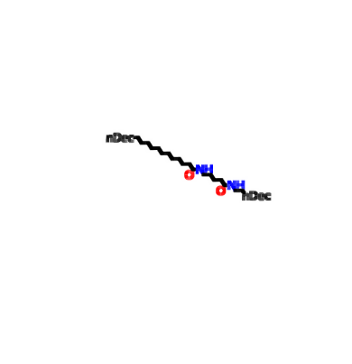 CCCCCCCCCCCCCCCCCCCCCC(=O)NCCCCC(=O)NCCCCCCCCCCCC